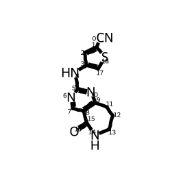 N#Cc1cc(Nc2ncc3c(n2)CCCNC3=O)cs1